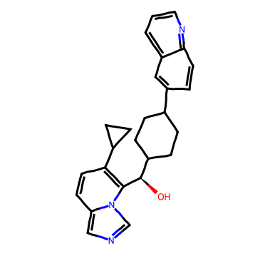 O[C@@H](c1c(C2CC2)ccc2cncn12)C1CCC(c2ccc3ncccc3c2)CC1